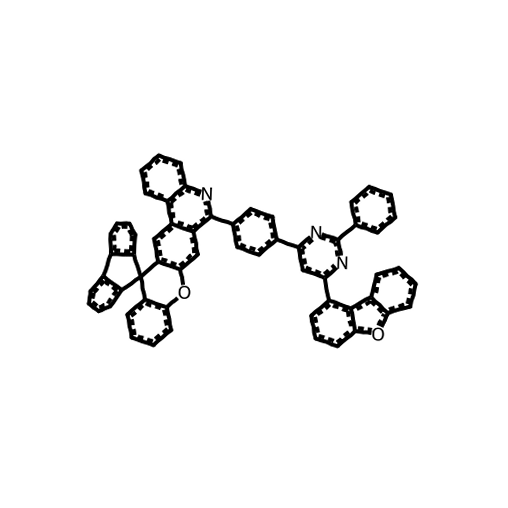 c1ccc(-c2nc(-c3ccc(-c4nc5ccccc5c5cc6c(cc45)Oc4ccccc4C64c5ccccc5-c5ccccc54)cc3)cc(-c3cccc4oc5ccccc5c34)n2)cc1